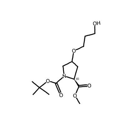 COC(=O)[C@@H]1CC(OCCCO)CN1C(=O)OC(C)(C)C